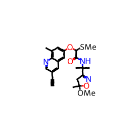 C#Cc1cnc2c(C)cc(OC(SC)C(=O)NC(C)(C)C3=NOC(C)(OC)C3)cc2c1